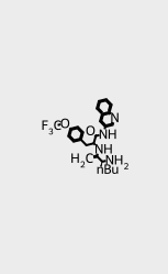 C=C(NC(Cc1ccc(OC(F)(F)F)cc1)C(=O)Nc1cnc2ccccc2c1)[C@@H](N)CCCC